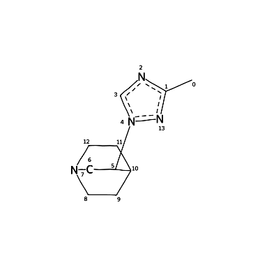 Cc1ncn(C2CN3CCC2CC3)n1